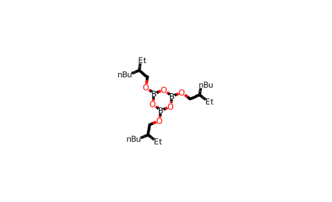 CCCCC(CC)COB1OB(OCC(CC)CCCC)OB(OCC(CC)CCCC)O1